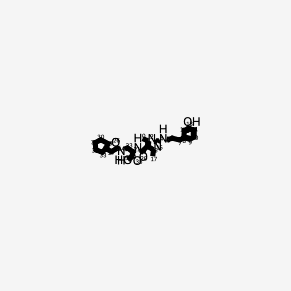 Cc1nc(NCCCc2cccc(O)c2)nc(C)c1C(=O)NC(CNC(=O)CC1CCCCC1)C(=O)O